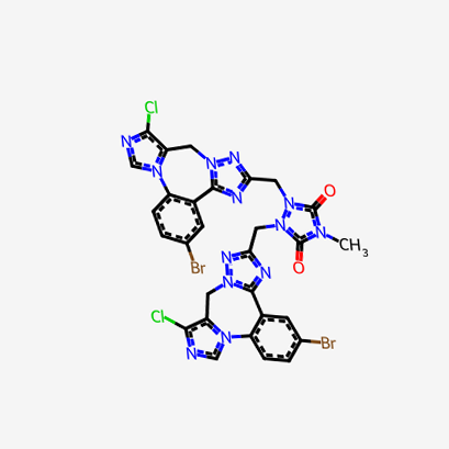 Cn1c(=O)n(Cc2nc3n(n2)Cc2c(Cl)ncn2-c2ccc(Br)cc2-3)n(Cc2nc3n(n2)Cc2c(Cl)ncn2-c2ccc(Br)cc2-3)c1=O